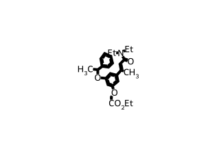 CCOC(=O)COc1cc(OC(C)c2ccccc2)cc(C(C)=CC(=O)N(CC)CC)c1